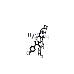 CC(/C(=C/NCC1CCC1)N=N)n1cc(-c2ccc(Cl)cc2)c2c(N)ncnc21